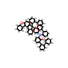 c1ccc(-c2ccccc2N(c2ccc3c(c2)-c2ccccc2-c2ccccc2C32c3ccccc3-c3c2ccc2oc4ccccc4c32)c2cccc3c2Oc2ccccc2-c2ccccc2-3)cc1